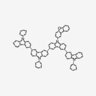 c1ccc(-n2c3ccccc3c3cc(-c4ccc5c(c4)c4cc(-c6ccc7c(c6)c6cc(-c8ccc9c(c8)c8ccccc8n9-c8ccccc8)ccc6n7-c6ccc7oc8ccccc8c7c6)ccc4n5-c4ccccc4)ccc32)cc1